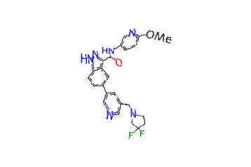 COc1ccc(NC(=O)c2n[nH]c3ccc(-c4cncc(CN5CCC(F)(F)C5)c4)cc23)cn1